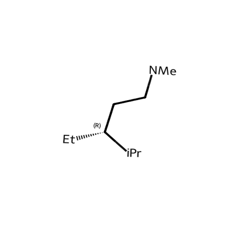 CC[C@H](CCNC)C(C)C